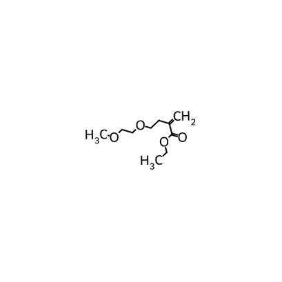 C=C(CCOCCOC)C(=O)OCC